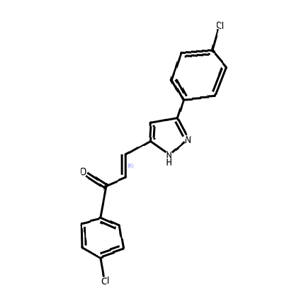 O=C(/C=C/c1cc(-c2ccc(Cl)cc2)n[nH]1)c1ccc(Cl)cc1